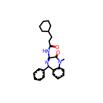 CN1C(=O)C(NC(=O)CCC2CCCCC2)=NC(c2ccccc2)c2ccccc21